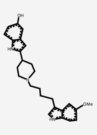 COc1ccc2[nH]cc(CCCCN3CCC(c4cc5cc(O)ccc5[nH]4)CC3)c2c1